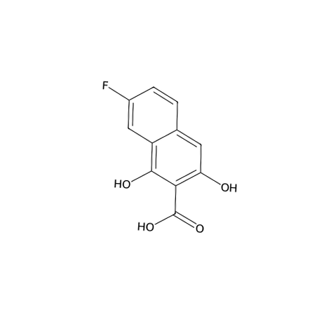 O=C(O)c1c(O)cc2ccc(F)cc2c1O